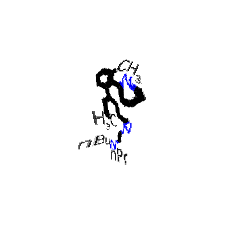 C/C=C\C(CC/C=N\CCN(CCC)CCCC)c1cccc(C)c1-c1ccccn1